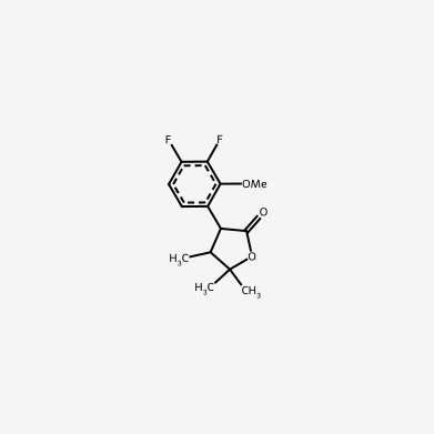 COc1c(C2C(=O)OC(C)(C)C2C)ccc(F)c1F